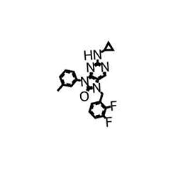 Cc1cccc(-n2c(=O)n(Cc3cccc(F)c3F)c3cnc(NC4CC4)nc32)c1